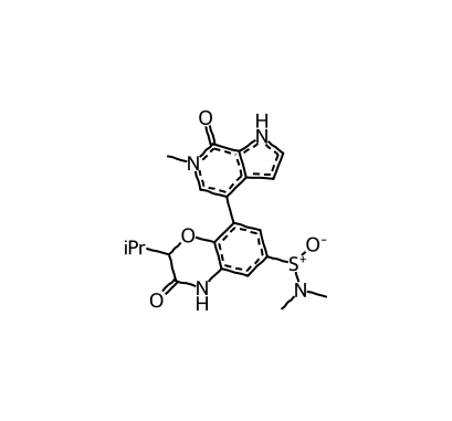 CC(C)C1Oc2c(cc([S+]([O-])N(C)C)cc2-c2cn(C)c(=O)c3[nH]ccc23)NC1=O